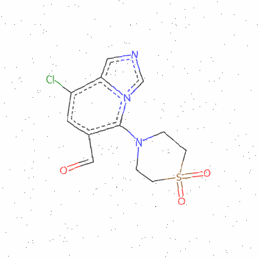 O=Cc1cc(Cl)c2cncn2c1N1CCS(=O)(=O)CC1